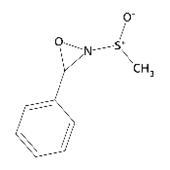 C[S+]([O-])N1OC1c1ccccc1